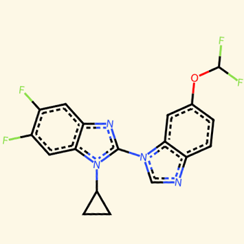 Fc1cc2nc(-n3cnc4ccc(OC(F)F)cc43)n(C3CC3)c2cc1F